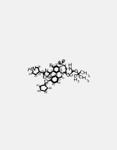 CC(C)(C)OC(=O)N[C@H]1CS(=O)(=O)c2cc(F)c(-c3noc(C4CCNC4)n3)cc2N(Cc2ccc(OC3CCCC3)cc2)C1=O